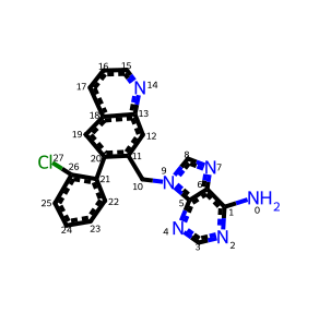 Nc1ncnc2c1ncn2Cc1cc2ncccc2cc1-c1ccccc1Cl